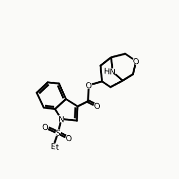 CCS(=O)(=O)n1cc(C(=O)OC2CC3COCC(C2)N3)c2ccccc21